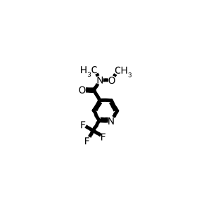 CON(C)C(=O)c1ccnc(C(F)(F)F)c1